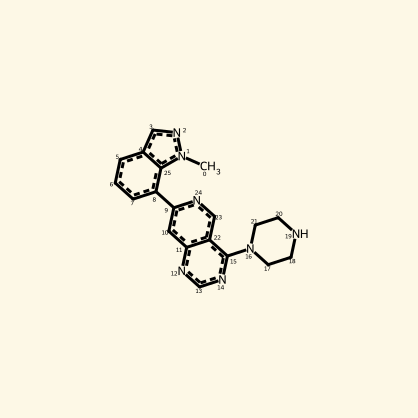 Cn1ncc2cccc(-c3cc4ncnc(N5CCNCC5)c4cn3)c21